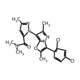 Cc1cc(C(=O)N(C)C)n(-c2c(C)nn3c(-c4ccc(Cl)cc4Cl)c(C)oc23)n1